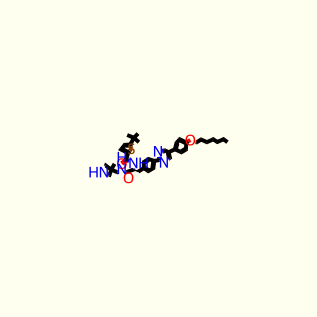 CCCCCCCOc1ccc(-c2cnc(-c3ccc(C[C@H](NC(=O)c4ccc(C(C)(C)C)s4)C(=O)NCC4(C)CNC4)cc3)nc2)cc1